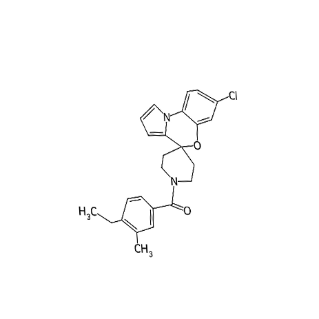 CCc1ccc(C(=O)N2CCC3(CC2)Oc2cc(Cl)ccc2-n2cccc23)cc1C